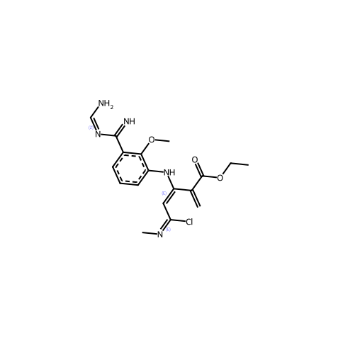 C=C(C(=O)OCC)/C(=C\C(Cl)=N/C)Nc1cccc(C(=N)/N=C\N)c1OC